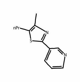 CCCc1sc(-c2cccnc2)nc1C